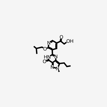 CCCc1c2nc(-c3cc(C(=O)CO)cnc3OCC(C)C)[nH]c(=O)c2nn1C